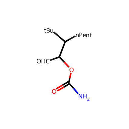 CCCCCC(C(C=O)OC(N)=O)C(C)(C)C